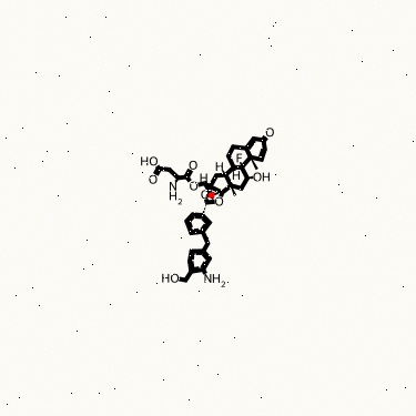 C[C@]12C=CC(=O)C=C1CC[C@H]1[C@@H]3C[C@H]4O[C@@H](c5cccc(Cc6ccc(CO)c(N)c6)c5)O[C@@]4(C(=O)COC(=O)[C@@H](N)CC(=O)O)[C@@]3(C)C[C@H](O)[C@@]12F